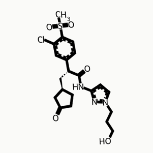 CS(=O)(=O)c1ccc([C@@H](C[C@H]2CCC(=O)C2)C(=O)Nc2ccn(CCCO)n2)cc1Cl